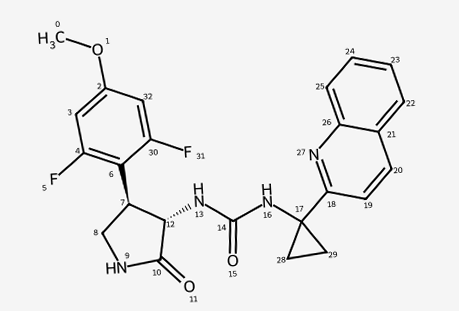 COc1cc(F)c([C@@H]2CNC(=O)[C@H]2NC(=O)NC2(c3ccc4ccccc4n3)CC2)c(F)c1